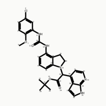 COc1ccc(Cl)cc1NC(=O)Nc1cccc2c1CCN2C(C(=O)OC(C)(C)C)c1ccnc2[nH]ccc12